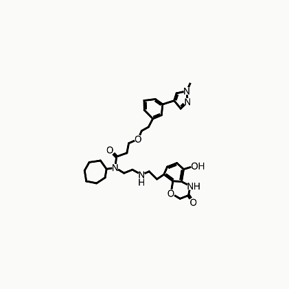 Cn1cc(-c2cccc(CCOCCC(=O)N(CCNCCc3ccc(O)c4c3OCC(=O)N4)C3CCCCCC3)c2)cn1